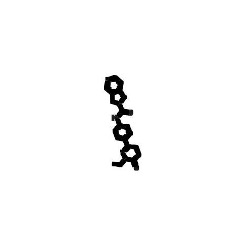 CCN1N=C(c2ccc(NC(=O)N3Cc4ccncc4C3)cc2)CCC1=O